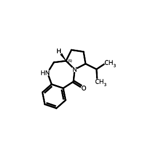 CC(C)C1CC[C@H]2CNc3ccccc3C(=O)N12